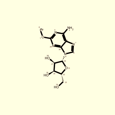 CC(C)Oc1nc(N)c2ncn([C@@H]3O[C@H](CO)[C@@H](O)[C@H]3O)c2n1